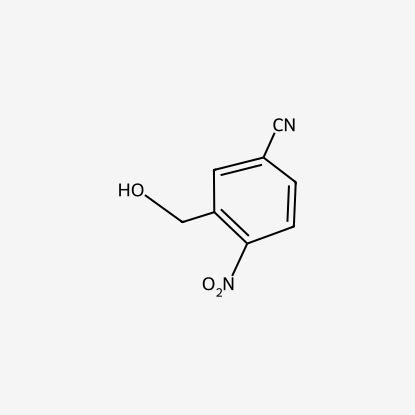 N#Cc1ccc([N+](=O)[O-])c(CO)c1